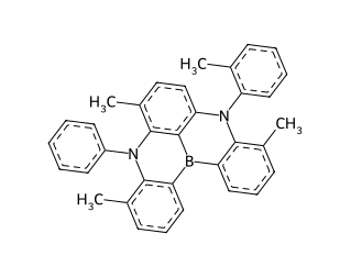 Cc1ccccc1N1c2ccc(C)c3c2B(c2cccc(C)c21)c1cccc(C)c1N3c1ccccc1